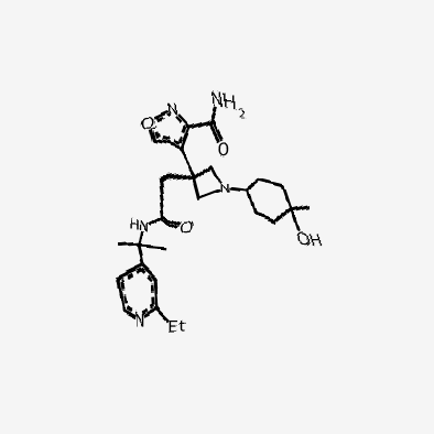 CCc1cc(C(C)(C)NC(=O)CC2(c3conc3C(N)=O)CN(C3CCC(C)(O)CC3)C2)ccn1